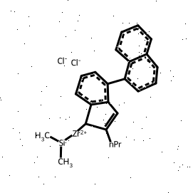 CCCC1=Cc2c(-c3cccc4ccccc34)cccc2[CH]1[Zr+2][Si](C)C.[Cl-].[Cl-]